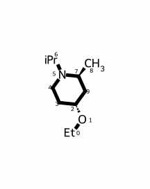 CCO[C@@H]1CCN(C(C)C)[C@@H](C)C1